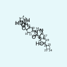 CN1[C@@H]2CC[C@H]1CC(Oc1ccc(-n3cnc4cc(CC(O)C5CCC5)sc4c3=O)cc1)C2